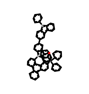 c1ccc(-n2c3ccccc3c3cc(-c4ccc5c(c4)c4ccccc4n5-c4cccc5c6ccccc6c6ccc([Si](c7ccccc7)(c7ccccc7)c7ccccc7)cc6c45)ccc32)cc1